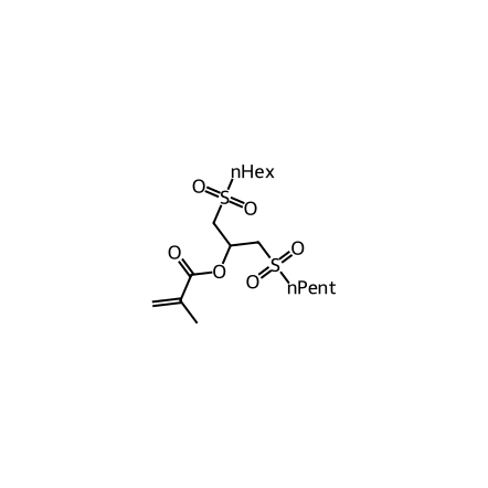 C=C(C)C(=O)OC(CS(=O)(=O)CCCCC)CS(=O)(=O)CCCCCC